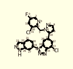 Fc1cnc(Cn2nccc2-c2cc(Cl)c3nnn(-c4ccc5cn[nH]c5c4)c3c2)c(Cl)c1